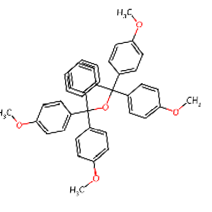 COc1ccc(C(OC(c2ccccc2)(c2ccc(OC)cc2)c2ccc(OC)cc2)(c2ccccc2)c2ccc(OC)cc2)cc1